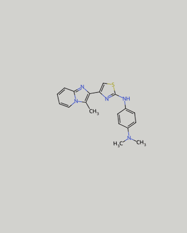 Cc1c(-c2csc(Nc3ccc(N(C)C)cc3)n2)nc2ccccn12